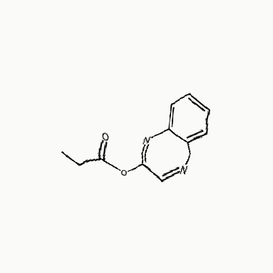 CCC(=O)Oc1cnc2ccccc2n1